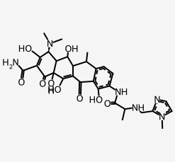 CC(NCc1nccn1C)C(=O)Nc1ccc2c(c1O)C(=O)C1=C(O)C3(O)C(=O)C(C(N)=O)=C(O)[C@@H](N(C)C)C3C(O)C1C2C